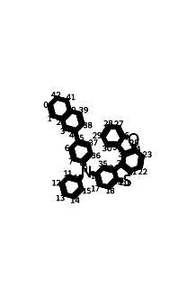 C1=Cc2cc(-c3ccc(N(c4ccccc4)c4ccc5sc6ccc7oc8ccccc8c7c6c5c4)cc3)ccc2CC1